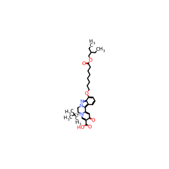 CCC(CC)COC(=O)CCCCCCCOc1cccc2c3n(nc12)C[C@@H](C(C)(C)C)n1cc(C(=O)O)c(=O)cc1-3